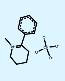 C[N+]1=C(c2ccccc2)CCCC1.[O-][Cl+3]([O-])([O-])[O-]